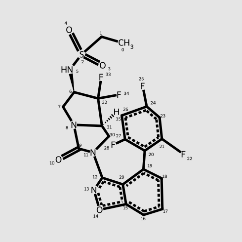 CCS(=O)(=O)N[C@@H]1CN2C(=O)N(c3noc4cccc(-c5c(F)cc(F)cc5F)c34)C[C@@H]2C1(F)F